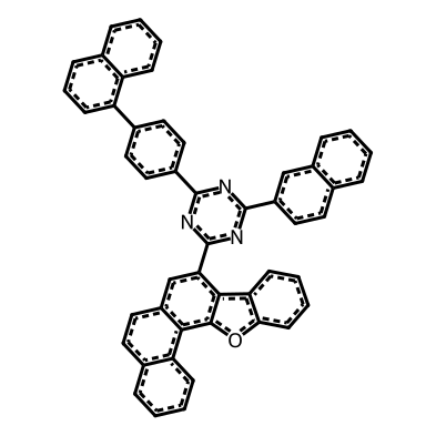 c1ccc2cc(-c3nc(-c4ccc(-c5cccc6ccccc56)cc4)nc(-c4cc5ccc6ccccc6c5c5oc6ccccc6c45)n3)ccc2c1